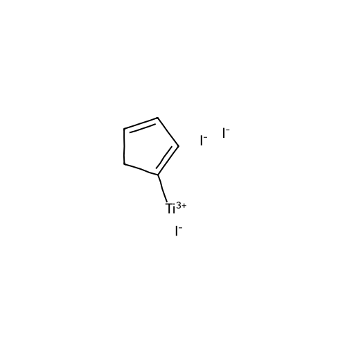 [I-].[I-].[I-].[Ti+3][C]1=CC=CC1